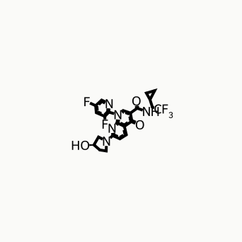 O=C(NC(C1CC1)C(F)(F)F)c1cn(-c2ncc(F)cc2F)c2nc(N3CC[C@@H](O)C3)ccc2c1=O